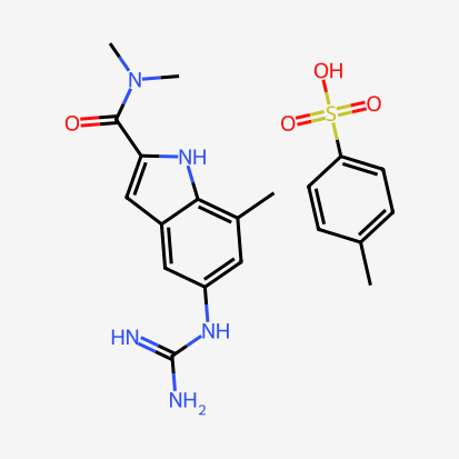 Cc1cc(NC(=N)N)cc2cc(C(=O)N(C)C)[nH]c12.Cc1ccc(S(=O)(=O)O)cc1